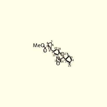 COC(=O)[C@@H]1CCCN1Cc1ccc(OC(c2cocn2)c2cc(C)ccc2C)cc1